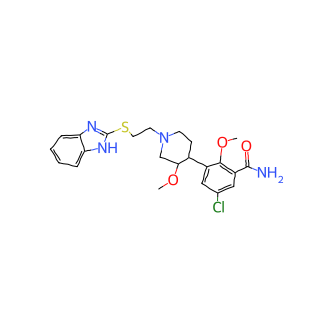 COc1c(C(N)=O)cc(Cl)cc1C1CCN(CCSc2nc3ccccc3[nH]2)CC1OC